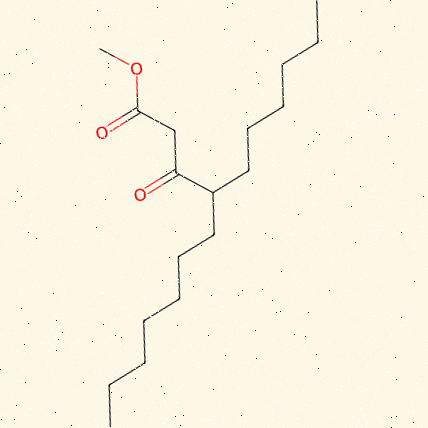 CCCCCCCC(CCCCCC)C(=O)CC(=O)OC